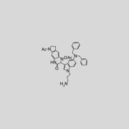 CC(=O)ON1c2cc3c(cc2NC(=O)C1c1cn(CCCN)c2ccc(N(Cc4ccccc4)Cc4ccccc4)cc12)N(C(C)=O)CC3